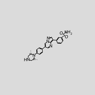 C[C@@H]1CNC[C@H](C)N1c1ccc(-c2cnc3c(-c4cccc(S(N)(=O)=O)c4)cnn3c2)cc1